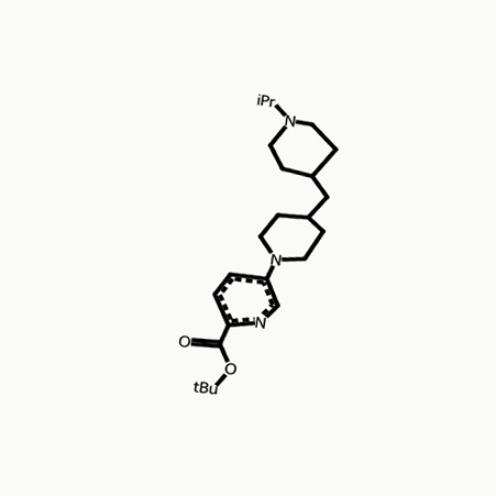 CC(C)N1CCC(CC2CCN(c3ccc(C(=O)OC(C)(C)C)nc3)CC2)CC1